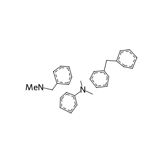 CN(C)c1ccccc1.CNCc1ccccc1.c1ccc(Cc2ccccc2)cc1